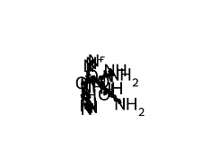 Cc1nnc(-c2ccc(CNC(=O)[C@H](CCCCN=[N+]=[N-])NC(=O)[C@H](CCCNC(=N)N)NC(=O)CNC(=O)CCCCCN)cc2)nn1